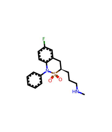 CNCCC[C@@H]1Cc2cc(F)ccc2N(c2ccccc2)S1(=O)=O